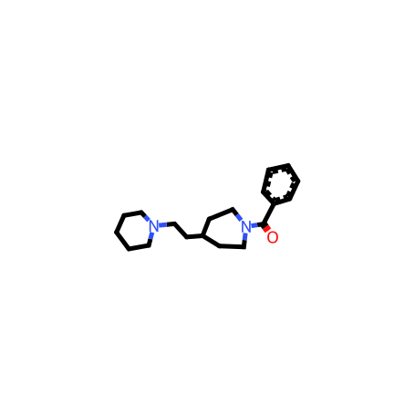 O=C(c1ccccc1)N1CCC(CCN2CCCCC2)CC1